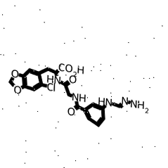 NN=CNc1cccc(C(=O)NCC(=O)NC(Cc2cc3c(cc2Cl)OCO3)C(=O)O)c1